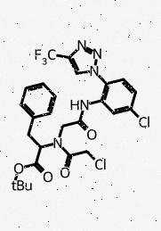 CC(C)(C)OC(=O)C(Cc1ccccc1)N(CC(=O)Nc1cc(Cl)ccc1-n1cc(C(F)(F)F)nn1)C(=O)CCl